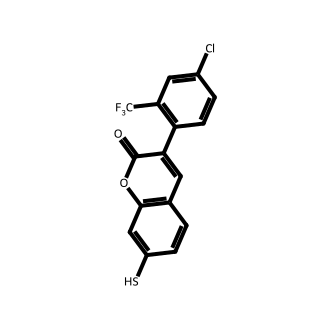 O=c1oc2cc(S)ccc2cc1-c1ccc(Cl)cc1C(F)(F)F